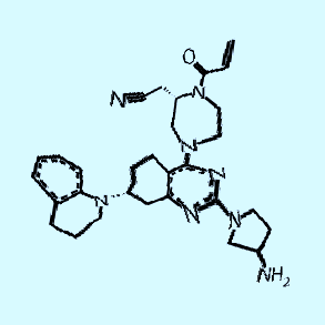 C=CC(=O)N1CCN(c2nc(N3CCC(N)C3)nc3c2CC[C@@H](N2CCCc4ccccc42)C3)C[C@@H]1CC#N